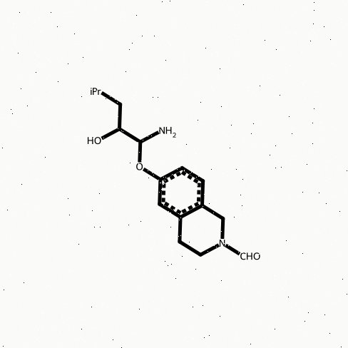 CC(C)CC(O)C(N)Oc1ccc2c(c1)CCN(C=O)C2